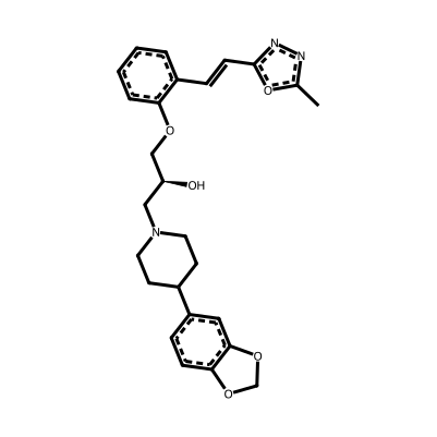 Cc1nnc(C=Cc2ccccc2OC[C@@H](O)CN2CCC(c3ccc4c(c3)OCO4)CC2)o1